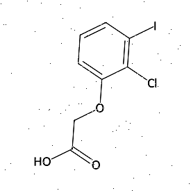 O=C(O)COc1cccc(I)c1Cl